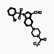 O=Cc1cn(S(=O)(=O)c2ccccc2Br)c2ccc(N3CCN(C(=O)C(Cl)(Cl)Cl)CC3)cc12